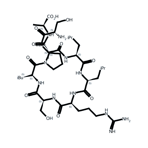 CC[C@H](C)[C@H](NC(=O)[C@H](CO)NC(=O)[C@H](CCCNC(=N)N)NC(=O)[C@H](CC(C)C)NC(=O)[C@H](CC(C)C)NC(=O)[C@H](C)NC(=O)[C@@H](N)CO)C(=O)N1CCC[C@H]1C(=O)N[C@@H](C)C(=O)O